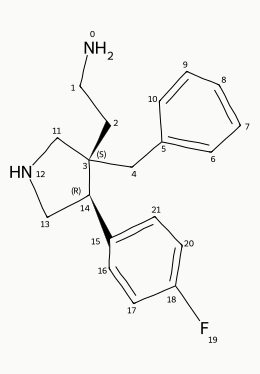 NCC[C@]1(Cc2ccccc2)CNC[C@@H]1c1ccc(F)cc1